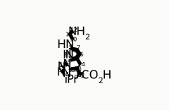 CC(C)[C@H](C(=O)O)[C@H](Cc1ccc(NCCN)nc1)c1nnn[nH]1